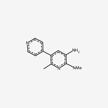 CNc1nc(C)c(-c2ccncc2)cc1N